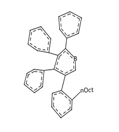 CCCCCCCCc1ccccc1-c1cbc(-c2ccccc2)c(-c2ccccc2)c1-c1ccccc1